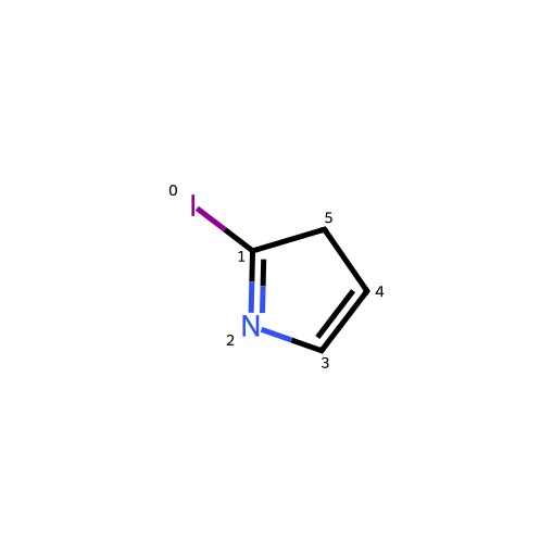 IC1=NC=CC1